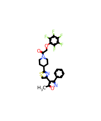 Cc1onc(-c2ccccc2)c1-c1csc(C2CCN(C(=O)COc3c(F)c(F)c(F)c(F)c3F)CC2)n1